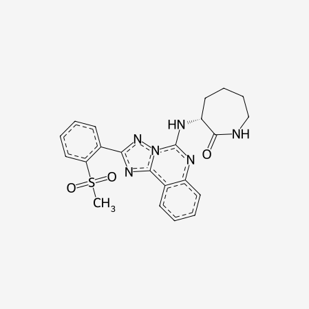 CS(=O)(=O)c1ccccc1-c1nc2c3ccccc3nc(N[C@@H]3CCCCNC3=O)n2n1